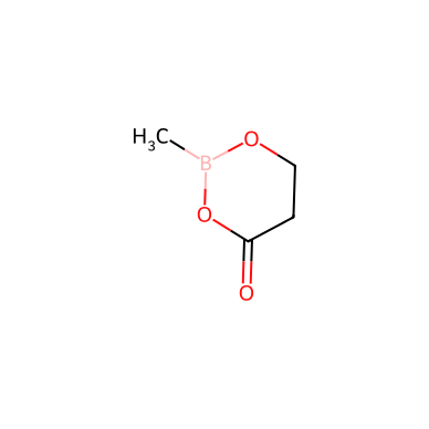 CB1OCCC(=O)O1